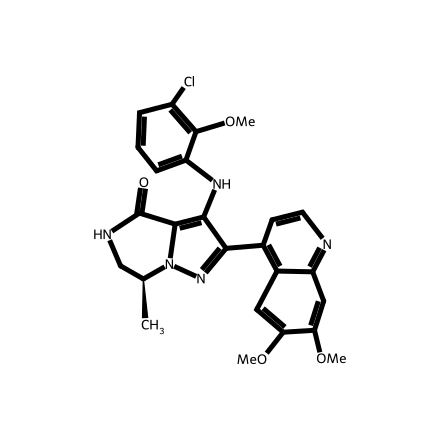 COc1cc2nccc(-c3nn4c(c3Nc3cccc(Cl)c3OC)C(=O)NC[C@@H]4C)c2cc1OC